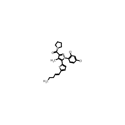 CCCC=Cc1ccc(-c2c(C)c(C(=O)N3CCCC3)nn2-c2ccc(Cl)cc2Cl)s1